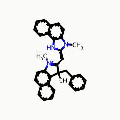 CN1/C(=C/C2=[N+](C)c3ccc4ccccc4c3C2(C)Cc2ccccc2)Nc2c1ccc1ccccc21